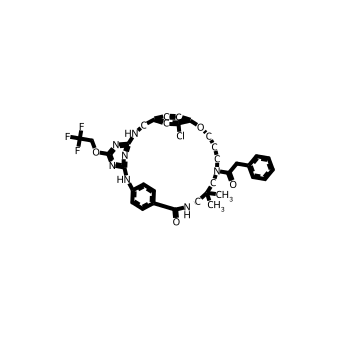 CC1(C)CNC(=O)c2ccc(cc2)Nc2nc(nc(OCC(F)(F)F)n2)NCc2ccc(c(Cl)c2)OCCCN(C(=O)Cc2ccccc2)C1